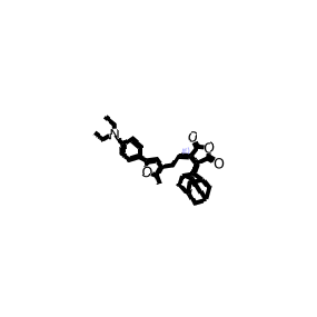 CCN(CC)c1ccc(-c2cc(C/C=C3/C(=O)OC(=O)C3=C3C4CC5CC(C4)CC3C5)c(C)o2)cc1